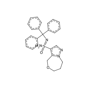 NS(=O)(=NC(c1ccccc1)(c1ccccc1)c1ccccc1)c1cnn2c1COCCC2